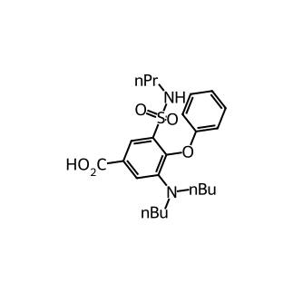 CCCCN(CCCC)c1cc(C(=O)O)cc(S(=O)(=O)NCCC)c1Oc1ccccc1